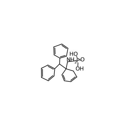 N[C@@H](C1(C(c2ccccc2)c2ccccc2)C=CC=CC1)P(=O)(O)O